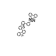 CC1(C)c2ccccc2-c2c(-c3cccc4c3sc3c(-c5cccc(-c6cnc7c8ccccc8c8ccccc8c7n6)c5)cccc34)cccc21